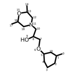 CC1CCCC(OCC(O)CN2CC(C)OC(C)C2)C1